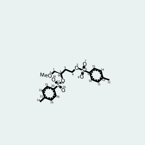 COC[C@@H](CCOS(=O)(=O)c1ccc(C)cc1)OS(=O)(=O)c1ccc(C)cc1